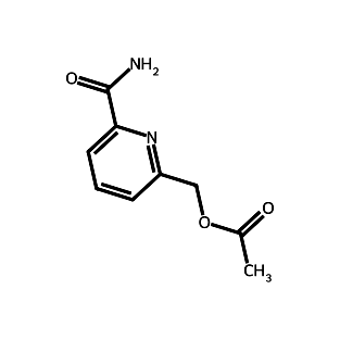 CC(=O)OCc1cccc(C(N)=O)n1